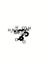 CC(=O)N([C@@H](CCCNC(=N)N)C(=O)O)C1(C)CCCCN1Cc1cc(Cl)cc(Cl)c1